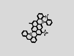 Cc1cc2c3c(cc4c([Si](C)(C)C)cc5c6c(cc1c3c46)B1c3ccccc3Cc3cccc-5c31)B1c3ccccc3N(C)c3cccc-2c31